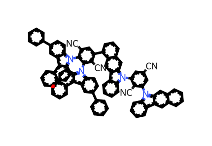 N#Cc1cc(-n2c3ccccc3c3cc4ccccc4cc32)c(C#N)c(-n2c3ccccc3c3cc4c(-c5cc(C#N)c(-n6c7ccc(-c8ccccc8)cc7c7c8ccccc8ccc76)c(-n6c7ccc(-c8ccccc8)cc7c7c8ccccc8ccc76)c5C#N)cccc4cc32)c1